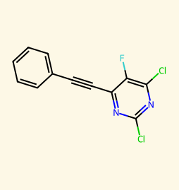 Fc1c(Cl)nc(Cl)nc1C#Cc1ccccc1